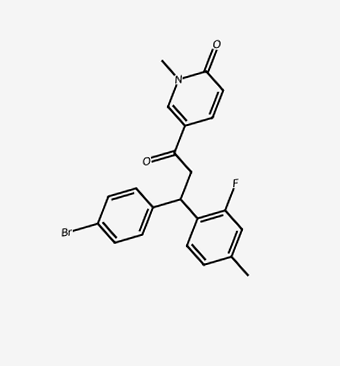 Cc1ccc(C(CC(=O)c2ccc(=O)n(C)c2)c2ccc(Br)cc2)c(F)c1